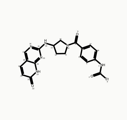 CCC(=O)Nc1ccc(C(=O)N2CCC(Nc3ncc4ccc(=O)[nH]c4n3)C2)cc1